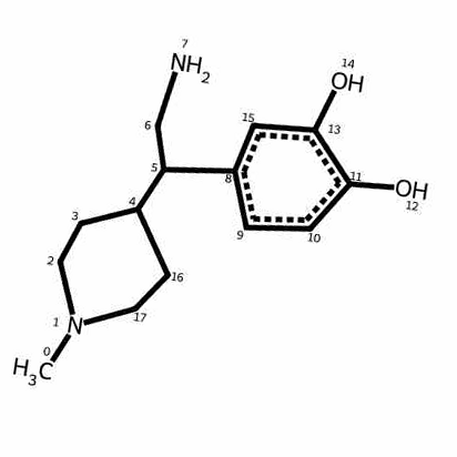 CN1CCC(C(CN)c2ccc(O)c(O)c2)CC1